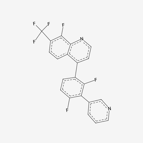 Fc1ccc(-c2ccnc3c(F)c(C(F)(F)F)ccc23)c(F)c1-c1cccnc1